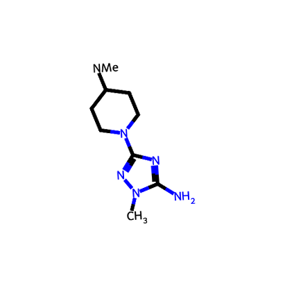 CNC1CCN(c2nc(N)n(C)n2)CC1